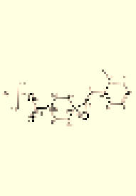 Cc1ccccc1C=C1OC12CCN(C(=O)OC(C)(C)C)CC2